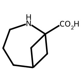 O=C(O)C12CC(CCCN1)C2